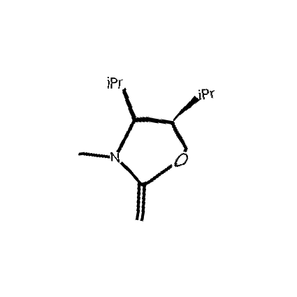 C=C1O[C@H](C(C)C)C(C(C)C)N1C